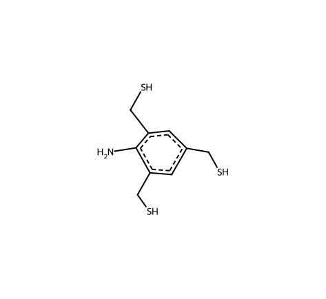 Nc1c(CS)cc(CS)cc1CS